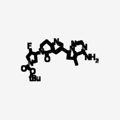 Cc1cc(-c2cnc3c(c2)C(=O)N(C2CN(C(=O)OC(C)(C)C)CC2F)CC3)n2ncnc(N)c12